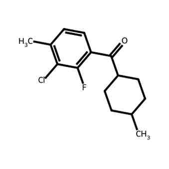 Cc1ccc(C(=O)C2CCC(C)CC2)c(F)c1Cl